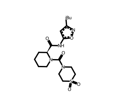 CCC(C)c1cc(NC(=O)[C@@H]2CCCCN2C(=O)N2CCS(=O)(=O)CC2)on1